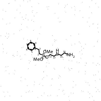 CO[Si](CCc1ccccc1)(OC)OCCNCCN